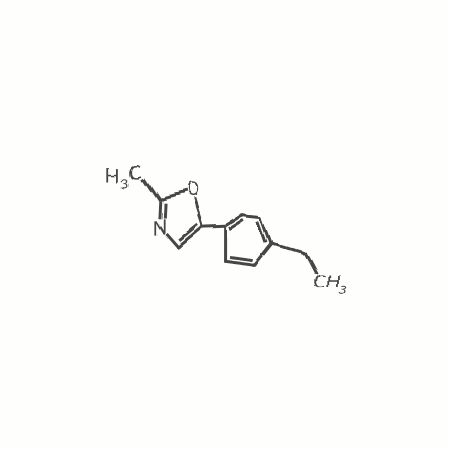 CCc1ccc(-c2cnc(C)o2)cc1